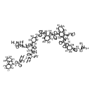 CC(C)C(NCCNC(=O)OCC1c2ccccc2-c2ccccc21)C(=O)NC(CCCNC(N)=O)C(=O)Nc1ccc(COC(=O)N(C)c2ccccc2N(C)C(=O)Oc2cc3c(c4ccccc24)[C@H](CCl)CN3C(=O)c2cc3cc(OCCN(C)C)ccc3o2)cc1